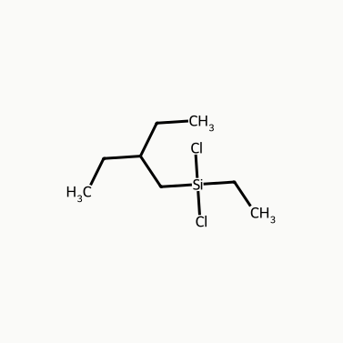 CCC(CC)C[Si](Cl)(Cl)CC